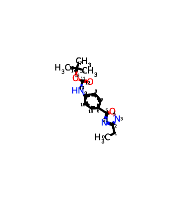 CCc1noc(-c2ccc(NC(=O)OC(C)(C)C)cc2)n1